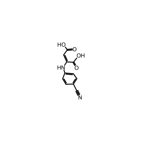 N#Cc1ccc(NC(=CC(=O)O)C(=O)O)cc1